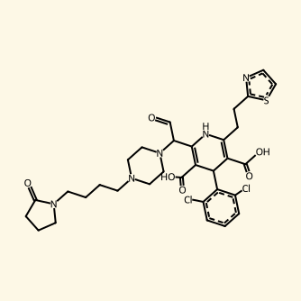 O=CC(C1=C(C(=O)O)C(c2c(Cl)cccc2Cl)C(C(=O)O)=C(CCc2nccs2)N1)N1CCN(CCCCN2CCCC2=O)CC1